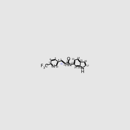 O=C(/C=C/c1ccc(C(F)(F)F)nc1)Nc1ccc2cc[nH]c2c1